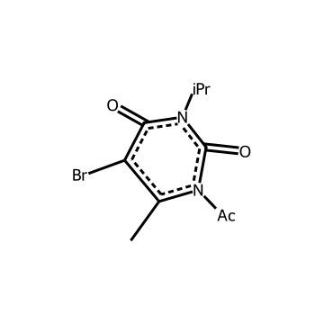 CC(=O)n1c(C)c(Br)c(=O)n(C(C)C)c1=O